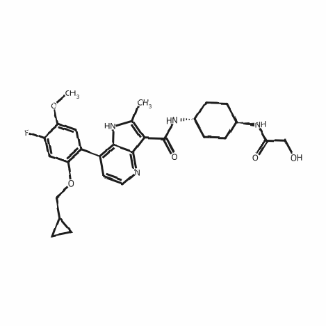 COc1cc(-c2ccnc3c(C(=O)N[C@H]4CC[C@H](NC(=O)CO)CC4)c(C)[nH]c23)c(OCC2CC2)cc1F